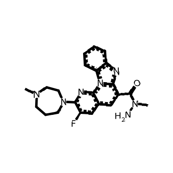 CN1CCCN(c2nc3c(cc2F)cc(C(=O)N(C)N)c2nc4ccccc4n23)CC1